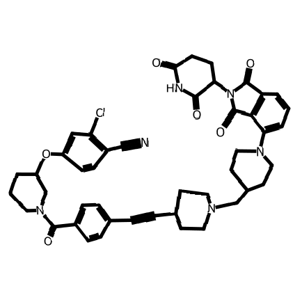 N#Cc1ccc(OC2CCCN(C(=O)c3ccc(C#CC4CCN(CC5CCN(c6cccc7c6C(=O)N(C6CCC(=O)NC6=O)C7=O)CC5)CC4)cc3)C2)cc1Cl